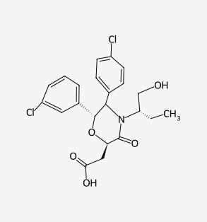 CC[C@@H](CO)N1C(=O)[C@@H](CC(=O)O)O[C@H](c2cccc(Cl)c2)C1c1ccc(Cl)cc1